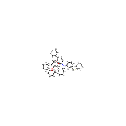 c1ccc(-c2ccc(N(c3ccc4c(c3)sc3ccccc34)c3cccc(-c4ccccc4)c3-c3cccc4c3oc3ccccc34)cc2)cc1